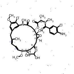 COc1cc2cc(c1Cl)N(C)C(=O)C[C@H](OC(=O)[C@H](C)N(C)C(=O)c1ccc(N)c(Cl)c1)[C@]1(C)O[C@H]1C[C@@H]1C[C@@](O)(NC(O)O1)[C@H](OC)/C=C/C=C(\C)C2